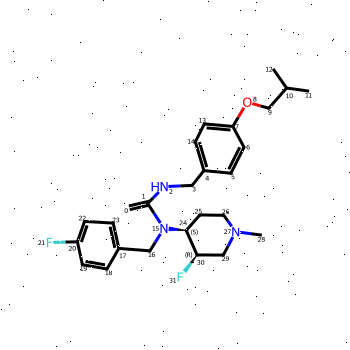 C=C(NCc1ccc(OCC(C)C)cc1)N(Cc1ccc(F)cc1)[C@H]1CCN(C)C[C@H]1F